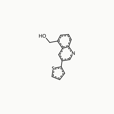 OCc1cccc2ncc(-c3cccs3)cc12